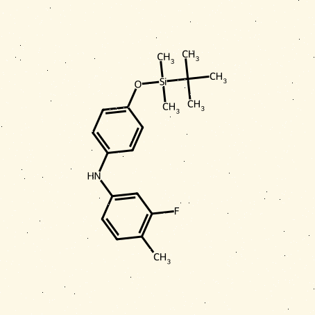 Cc1ccc(Nc2ccc(O[Si](C)(C)C(C)(C)C)cc2)cc1F